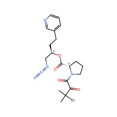 CCC(C)(C)C(=O)C(=O)N1CCC[C@H]1C(=O)O[C@H](CCc1cccnc1)CN=[N+]=[N-]